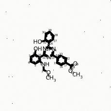 COCNc1cccc(O)c1-c1nc(-c2ccc(C(=O)OC)cc2)nc(-c2ccccc2O)n1